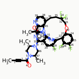 CC#CC(=O)N1C[C@H](C)N(c2nc(=O)n3c4nc(c(F)cc24)-c2c(ccc(F)c2F)OCC(F)(F)CCc2ccnc(C(C)C)c2-3)C[C@H]1C